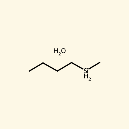 CCCC[SiH2]C.O